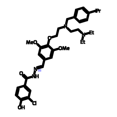 CCN(CC)CCN(CCOc1c(OC)cc(/C=N/NC(=O)c2ccc(O)c(Cl)c2)cc1OC)Cc1ccc(C(C)C)cc1